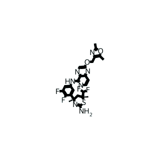 Cc1nc(COc2cnc3c(Nc4cc(F)c(F)c([C@]5(C)C[C@](C)(C(F)F)SC(N)=N5)c4)nccc3n2)c(C)o1